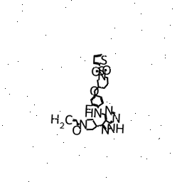 C=CC(=O)N1CCC(c2n[nH]c3ncnc(Nc4ccc(OC5CCCN(S(=O)(=O)c6cccs6)C5)cc4F)c23)CC1